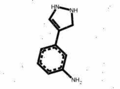 Nc1cccc(C2=CNNC2)c1